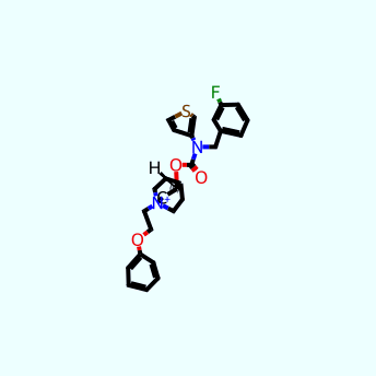 O=C(O[C@H]1C[N+]2(CCOc3ccccc3)CCC1CC2)N(Cc1cccc(F)c1)c1ccsc1